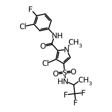 CC(NS(=O)(=O)c1cn(C)c(C(=O)Nc2ccc(F)c(Cl)c2)c1Cl)C(F)(F)F